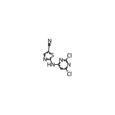 N#Cc1cnc(Nc2cc(Cl)nc(Cl)n2)s1